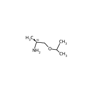 CC(C)OC[C@H](C)N